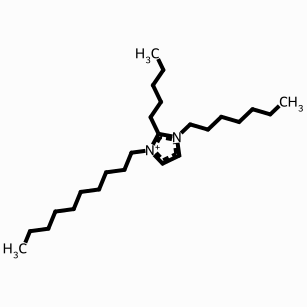 CCCCCCCCCC[n+]1ccn(CCCCCCC)c1CCCCC